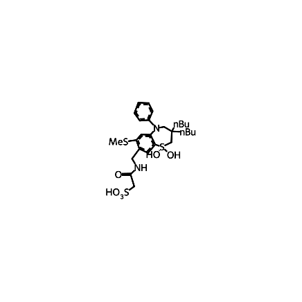 CCCCC1(CCCC)CN(c2ccccc2)c2cc(SC)c(CNC(=O)CS(=O)(=O)O)cc2S(O)(O)C1